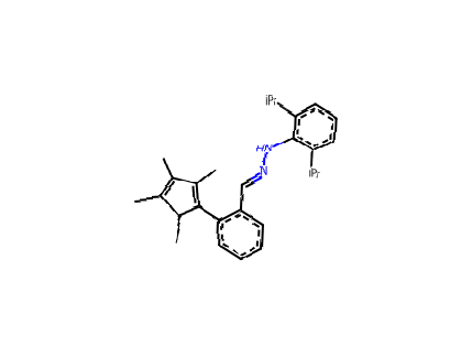 CC1=C(C)C(C)C(c2ccccc2/C=N/Nc2c(C(C)C)cccc2C(C)C)=C1C